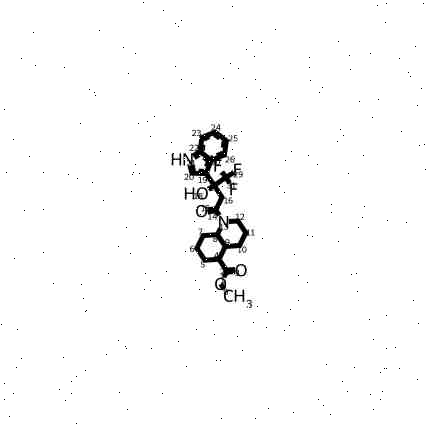 COC(=O)C1CCCC2C1CCCN2C(=O)CC(O)(c1c[nH]c2ccccc12)C(F)(F)F